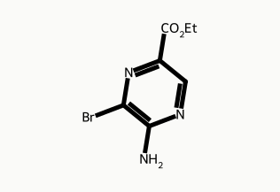 CCOC(=O)c1cnc(N)c(Br)n1